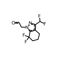 O=CCn1nc(C(F)F)c2c1C(F)(F)CCC2